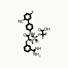 CN([C@@H](Cc1cccc(C(=N)N)c1)C(=O)Nc1ccc(-c2cc(F)ccc2C#N)cc1)S(C)(=O)=O.O=C(O)C(F)(F)F